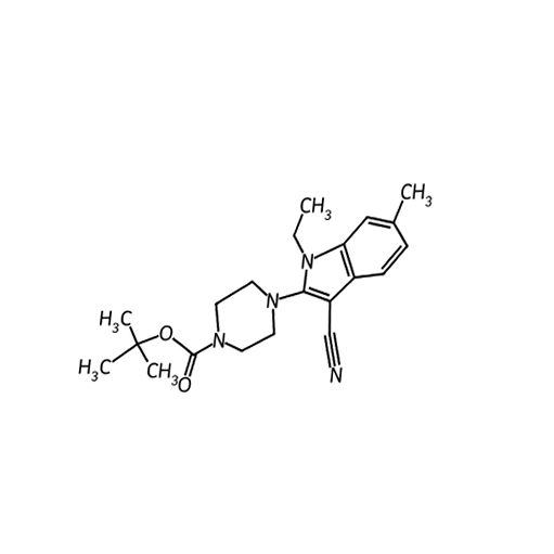 CCn1c(N2CCN(C(=O)OC(C)(C)C)CC2)c(C#N)c2ccc(C)cc21